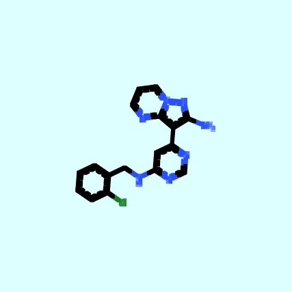 Nc1nn2cccnc2c1-c1cc(NCc2ccccc2Cl)ncn1